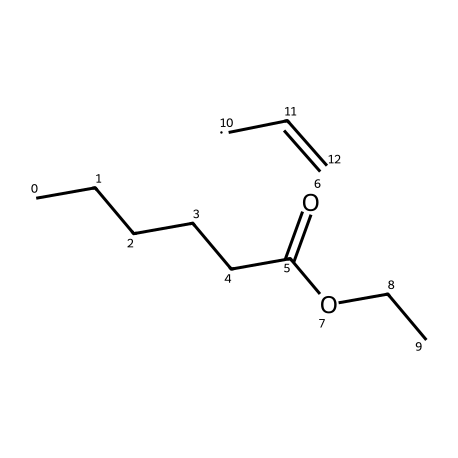 CCCCCC(=O)OCC.[CH2]C=C